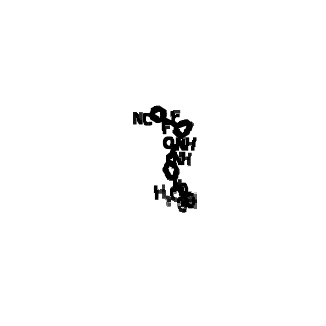 CN(O[SH](=O)=O)c1ccc2cc(C(=O)Nc3cccc(C(F)(F)c4cccc(C#N)c4)c3)[nH]c2c1